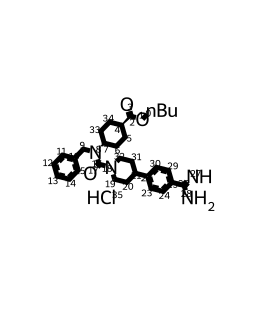 CCCCOC(=O)[C@H]1CC[C@H](N(Cc2ccccc2)C(=O)N2CCC(c3ccc(C(=N)N)cc3)CC2)CC1.Cl